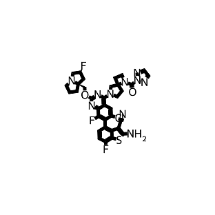 N#Cc1c(N)sc2c(F)ccc(-c3c(Cl)cc4c(N5CCC6(CCN6C(=O)n6nccn6)C5)nc(OC[C@@]56CCCN5C[C@H](F)C6)nc4c3F)c12